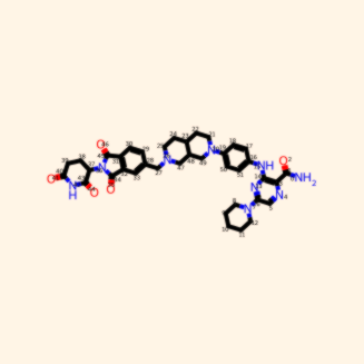 NC(=O)c1ncc(N2CCCCC2)nc1Nc1ccc(N2CCC3CCN(Cc4ccc5c(c4)C(=O)N(C4CCC(=O)NC4=O)C5=O)CC3C2)cc1